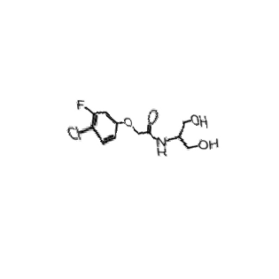 O=C(COc1ccc(Cl)c(F)c1)NC(CO)CO